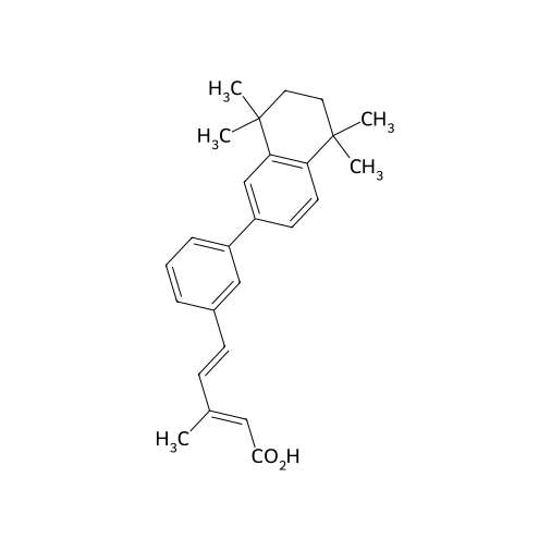 CC(C=Cc1cccc(-c2ccc3c(c2)C(C)(C)CCC3(C)C)c1)=CC(=O)O